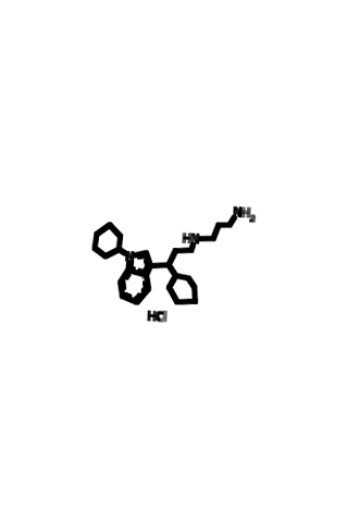 Cl.NCCCNCCC(c1cn(C2CCCCC2)c2ccccc12)C1CCCCC1